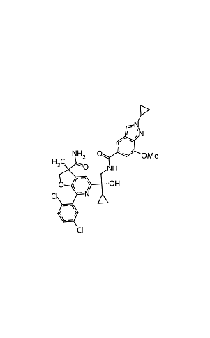 COc1cc(C(=O)NC[C@](O)(c2cc3c(c(-c4cc(Cl)ccc4Cl)n2)OC[C@]3(C)C(N)=O)C2CC2)cc2cn(C3CC3)nc12